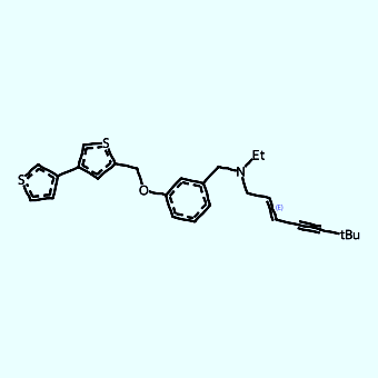 CCN(C/C=C/C#CC(C)(C)C)Cc1cccc(OCc2cc(-c3ccsc3)cs2)c1